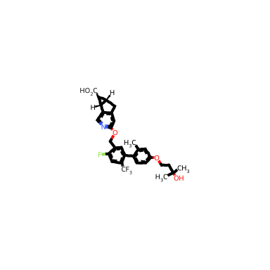 Cc1cc(OCCC(C)(C)O)ccc1-c1cc(COc2cc3c(cn2)[C@H]2[C@@H](C3)[C@@H]2C(=O)O)c(F)cc1C(F)(F)F